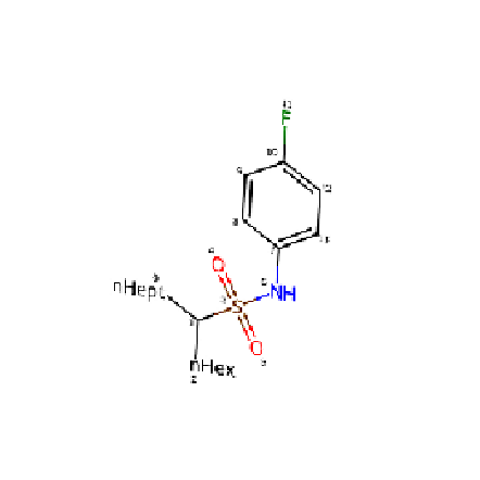 CCCCCCCC(CCCCCC)S(=O)(=O)Nc1ccc(F)cc1